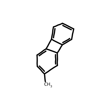 Cc1ccc2c(c1)-c1ccccc1-2